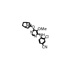 COc1c(Nc2ccc(C#N)cc2Cl)ncnc1OC1CC2CCC(C1)N2